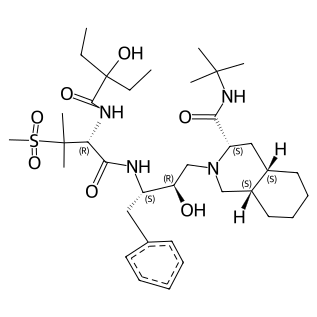 CCC(O)(CC)C(=O)N[C@H](C(=O)N[C@@H](Cc1ccccc1)[C@H](O)CN1C[C@H]2CCCC[C@H]2C[C@H]1C(=O)NC(C)(C)C)C(C)(C)S(C)(=O)=O